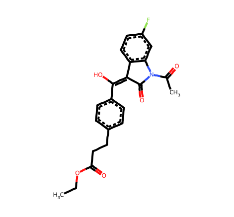 CCOC(=O)CCc1ccc(C(O)=C2C(=O)N(C(C)=O)c3cc(F)ccc32)cc1